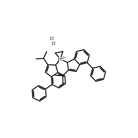 CC(C)C1=Cc2c(-c3ccccc3)cccc2[CH]1[Hf+2]1([CH]2C(C(C)C)=Cc3c(-c4ccccc4)cccc32)[CH2][CH2]1.[Cl-].[Cl-]